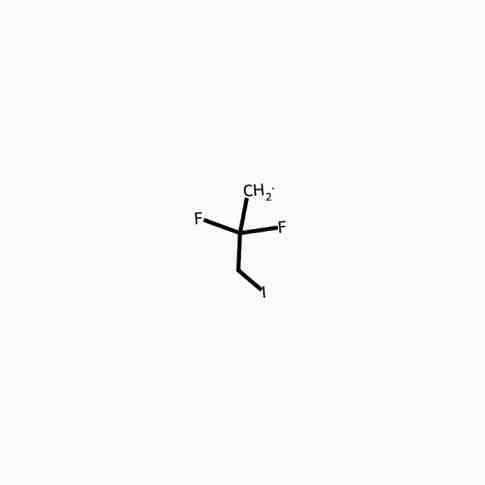 [CH2]C(F)(F)CI